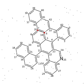 c1ccc(-c2c3ccccc3c(-c3cccc4ccccc34)c3c2cnc2ccccc23)c(-c2ccc3ccccc3c2)c1